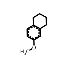 COc1ccc2c(c1)[CH]CCC2